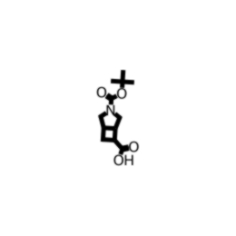 CC(C)(C)OC(=O)N1CC2CC(C(=O)O)C2C1